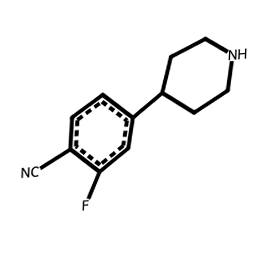 N#Cc1ccc(C2CCNCC2)cc1F